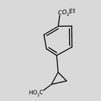 CCOC(=O)c1ccc(C2CC2C(=O)O)cc1